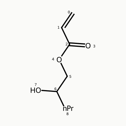 C=CC(=O)OCC(O)CCC